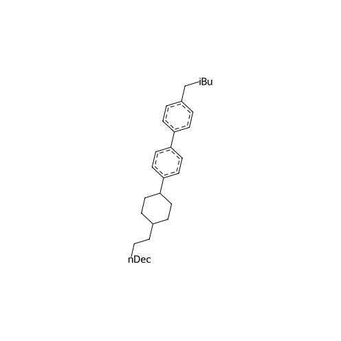 CCCCCCCCCCCCC1CCC(c2ccc(-c3ccc(CC(C)CC)cc3)cc2)CC1